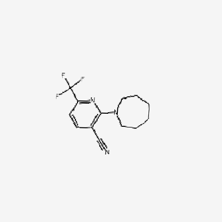 N#Cc1ccc(C(F)(F)F)nc1N1CCCCCC1